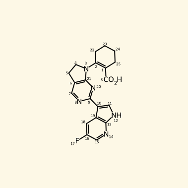 O=C(O)C1=C(N2CCc3cnc(-c4c[nH]c5ncc(F)cc45)nc32)CCCC1